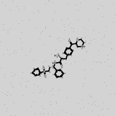 N[C@@H](Cc1ccc(C(=O)C2CNCCO2)cc1)C(=O)N[C@@H](CCS(=O)(=O)c1ccccc1)c1ccccc1